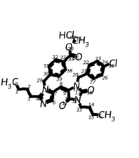 CCCCc1ncc(C=C2C(=O)N(CCCC)C(=O)N2Cc2ccc(Cl)cc2)n1Cc1ccc(C(=O)OC)cc1.Cl